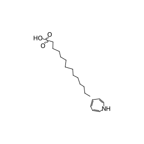 C1=CC=CNC=C1.CCCCCCCCCCCCCS(=O)(=O)O